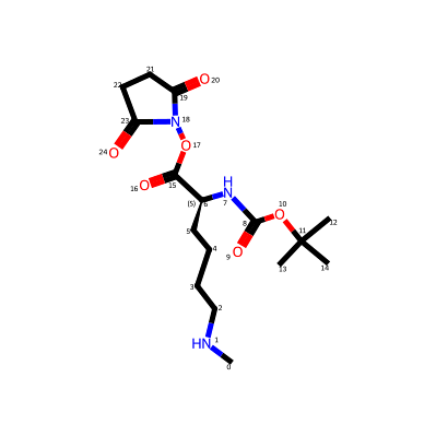 CNCCCC[C@H](NC(=O)OC(C)(C)C)C(=O)ON1C(=O)CCC1=O